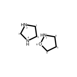 C1CNCN1.C1CNOC1